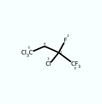 FC(F)(F)C(F)(Cl)[CH]C(Cl)(Cl)Cl